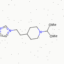 COC(OC)N1CCC(CCn2ccnc2)CC1